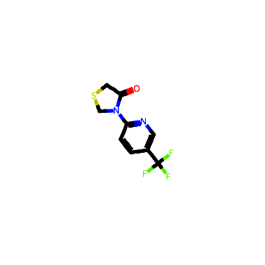 O=C1CSCN1c1ccc(C(F)(F)F)cn1